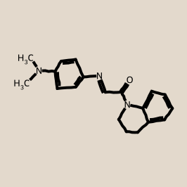 CN(C)c1ccc(N=CC(=O)N2CCCc3ccccc32)cc1